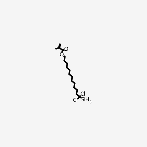 C=C(C)C(=O)OCCCCCCCCCCCCC([SiH3])(Cl)Cl